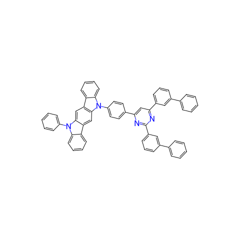 c1ccc(-c2cccc(-c3cc(-c4ccc(-n5c6ccccc6c6cc7c(cc65)c5ccccc5n7-c5ccccc5)cc4)nc(-c4cccc(-c5ccccc5)c4)n3)c2)cc1